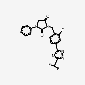 O=C1CN(c2ccccc2)C(=O)N1Cc1ccc(-c2nnc(C(F)F)o2)cc1F